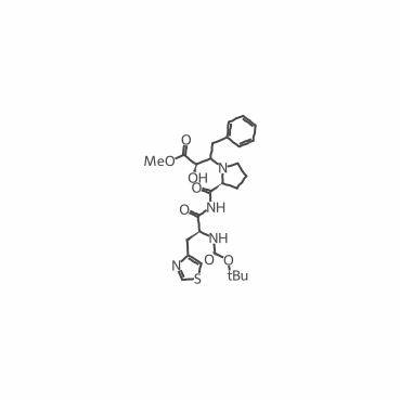 COC(=O)[C@H](O)C(Cc1ccccc1)N1CCC[C@H]1C(=O)NC(=O)[C@H](Cc1cscn1)NC(=O)OC(C)(C)C